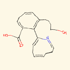 O=C(O)c1cccc(CCO)c1-c1ccccn1